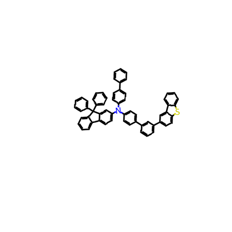 c1ccc(-c2ccc(N(c3ccc(-c4cccc(-c5ccc6sc7ccccc7c6c5)c4)cc3)c3ccc4c(c3)C(c3ccccc3)(c3ccccc3)c3ccccc3-4)cc2)cc1